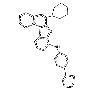 c1ccc(-c2ccc(Nc3cccc4c3oc3c(C5CCCCC5)cc5ccccc5c34)cc2)cc1